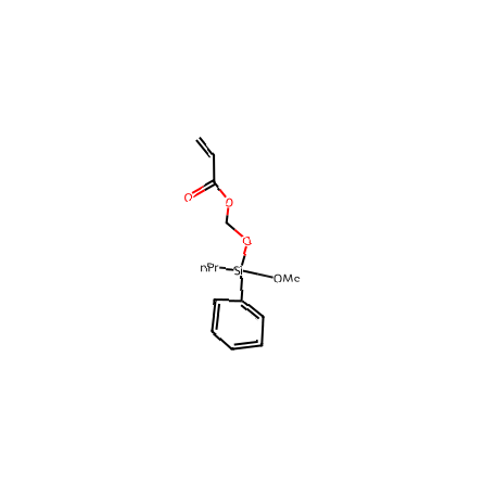 C=CC(=O)OCO[Si](CCC)(OC)c1ccccc1